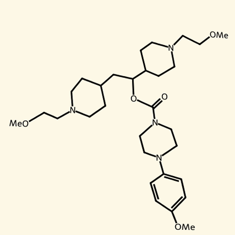 COCCN1CCC(CC(OC(=O)N2CCN(c3ccc(OC)cc3)CC2)C2CCN(CCOC)CC2)CC1